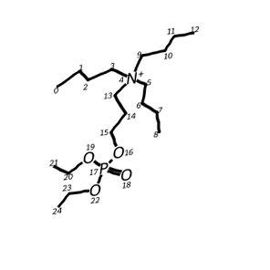 CCCC[N+](CCCC)(CCCC)CCCOP(=O)(OCC)OCC